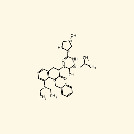 CCN(CC)c1cccc2c1N(Cc1ccccn1)C(=O)C(NC(O)[C@@H](CC(C)C)NC(=O)[C@H]1C[C@@H](O)CN1)C2